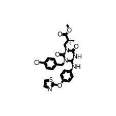 COC(=O)[C@@H](C)CN1C(=O)NC(Nc2ccc(Oc3nccs3)cc2)N(Cc2ccc(Cl)cc2)C1=O